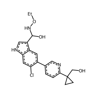 CCONC(O)c1c[nH]c2cc(Cl)c(-c3ccc(C4(CO)CC4)nc3)cc12